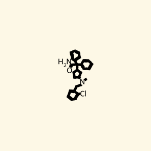 CN(CCc1ccccc1Cl)C1CCC(C(C(N)=O)(c2ccccc2)c2ccccc2)C1